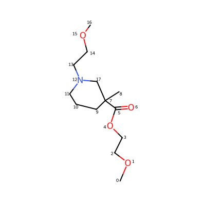 COCCOC(=O)C1(C)CCCN(CCOC)C1